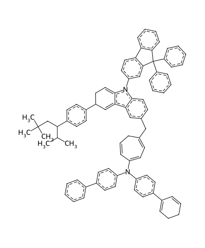 CC(C)C(CC(C)(C)C)c1ccc(C2C=c3c(n(-c4ccc5c(c4)C(c4ccccc4)(c4ccccc4)c4ccccc4-5)c4ccc(CC5=CC=C(N(c6ccc(C7=CCCC=C7)cc6)c6ccc(-c7ccccc7)cc6)C=CC5)cc34)=CC2)cc1